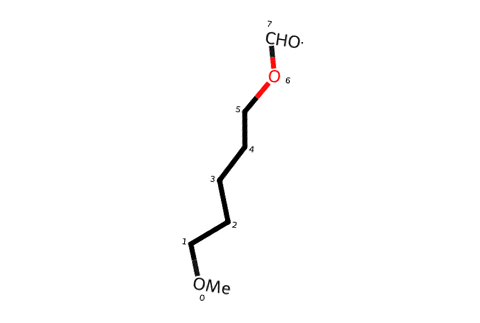 [CH2]OCCCCCO[C]=O